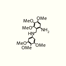 COc1cc(NCc2c(N)cc(OC)c(OC)c2OC)cc(OC)c1OC